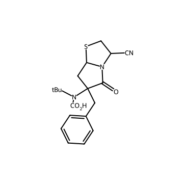 CC(C)(C)N(C(=O)O)C1(Cc2ccccc2)CC2SCC(C#N)N2C1=O